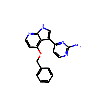 Nc1nccc(-c2c[nH]c3nccc(OCc4ccccc4)c23)n1